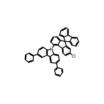 Clc1ccc2c(c1)C1(c3ccccc3-c3ccccc31)c1cccc(-n3c4ccc(-c5ccccc5)cc4c4cc(-c5ccccc5)ccc43)c1-2